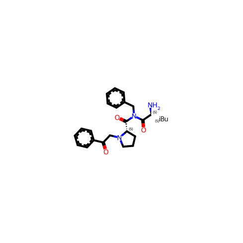 CC[C@H](C)[C@H](N)C(=O)N(Cc1ccccc1)C(=O)[C@@H]1CCCN1CC(=O)c1ccccc1